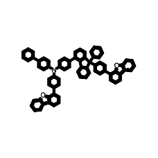 c1ccc(-c2ccc(N(c3ccc(-c4cccc5c4-c4ccccc4C5(c4ccccc4)c4ccc(-c5cccc6c5oc5ccccc56)cc4)cc3)c3ccc(-c4cccc5c4oc4ccccc45)cc3)cc2)cc1